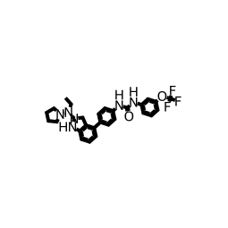 CCN(N1CCCC1)N1Cc2c(cccc2-c2ccc(NC(=O)Nc3cccc(OC(F)(F)F)c3)cc2)N1